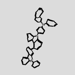 c1ccc(N(c2ccc(-n3c4ccccc4c4c(-c5ccc6c7ccccc7n(-c7ccccc7)c6c5)cccc43)cc2)c2ccc3ccccc3c2)cc1